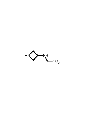 O=C(O)CNC1CNC1